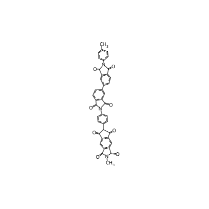 Cc1ccc(N2C(=O)c3ccc(-c4ccc5c(c4)C(=O)N(c4ccc(C6C(=O)c7cc8c(cc7C6=O)C(=O)N(C)C8=O)cc4)C5=O)cc3C2=O)cc1